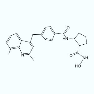 Cc1cc(Cc2ccc(C(=O)N[C@@H]3CCC[C@@H]3C(=O)NO)cc2)c2cccc(C)c2n1